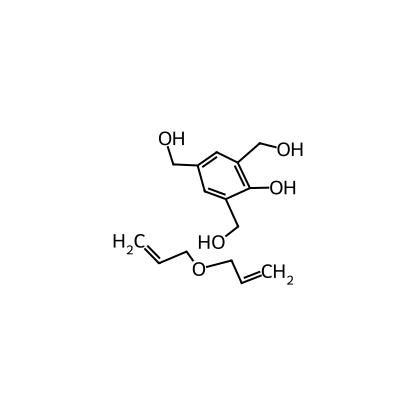 C=CCOCC=C.OCc1cc(CO)c(O)c(CO)c1